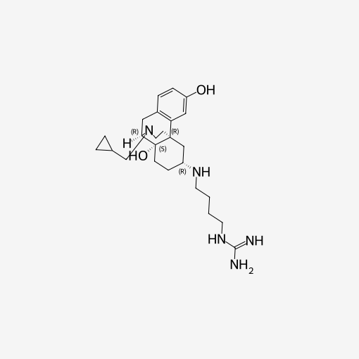 N=C(N)NCCCCN[C@@H]1CC[C@@]2(O)[C@H]3Cc4ccc(O)cc4[C@@]2(CCN3CC2CC2)C1